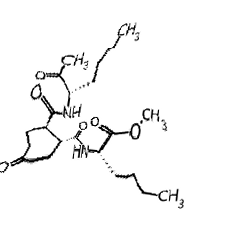 CCCC[C@H](NC(=O)[C@@H]1CC(=O)C[C@H]1C(=O)N[C@@H](CCCC)C(=O)OC)C(C)=O